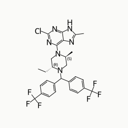 CC[C@@H]1CN(c2nc(Cl)nc3[nH]c(C)nc23)[C@@H](C)CN1C(c1ccc(C(F)(F)F)cc1)c1ccc(C(F)(F)F)cc1